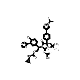 CC(C)(C)C[C@]1(c2ccc(-c3cnn(C(F)F)c3)cc2)NC(=NC(=O)O)N(C(COC(=O)NC2CC2)c2ccc(Cl)c(-c3ncns3)c2)C1=O